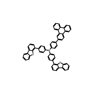 c1ccc2c(c1)sc1c(-c3ccc(N(c4ccc(-c5ccc6c7ccccc7c7ccccc7c6c5)cc4)c4ccc(-c5cccc6c5sc5ccccc56)cc4)cc3)cccc12